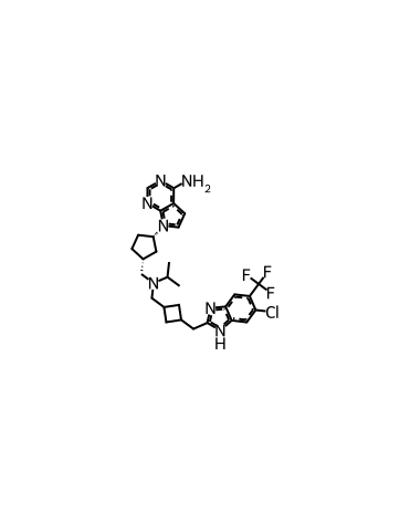 CC(C)N(CC1CC(Cc2nc3cc(C(F)(F)F)c(Cl)cc3[nH]2)C1)C[C@@H]1CC[C@H](n2ccc3c(N)ncnc32)C1